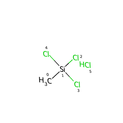 C[Si](Cl)(Cl)Cl.Cl